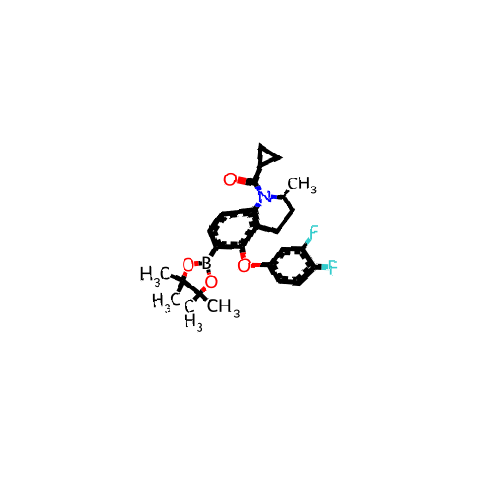 C[C@H]1CCc2c(ccc(B3OC(C)(C)C(C)(C)O3)c2Oc2ccc(F)c(F)c2)N1C(=O)C1CC1